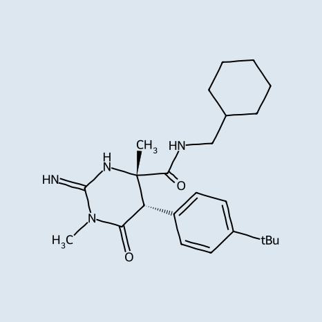 CN1C(=N)N[C@](C)(C(=O)NCC2CCCCC2)[C@H](c2ccc(C(C)(C)C)cc2)C1=O